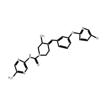 Cc1cnc(NC(=O)N2CCC(=Cc3cccc(Oc4ccc(Cl)cn4)c3)C(C)C2)cn1